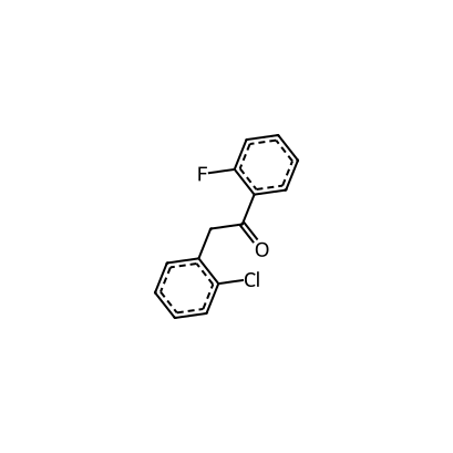 O=C(Cc1ccccc1Cl)c1ccccc1F